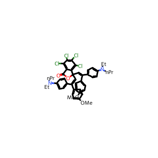 CCCN(CC)c1ccc(C(=CC2(C=C(c3ccc(OC)cc3)c3ccc(N(CC)CCC)cc3)OC(=O)c3c(Cl)c(Cl)c(Cl)c(Cl)c32)c2ccc(OC)cc2)cc1